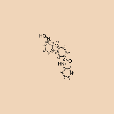 O=C(Nc1cccnc1)c1ccc2c(c1)N1CCC/C(=N\O)C1C2